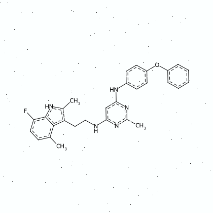 Cc1nc(NCCc2c(C)[nH]c3c(F)ccc(C)c23)cc(Nc2ccc(Oc3ccccc3)cc2)n1